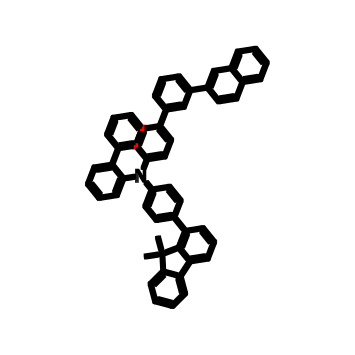 CC1(C)c2ccccc2-c2cccc(-c3ccc(N(c4ccc(-c5cccc(-c6ccc7ccccc7c6)c5)cc4)c4ccccc4-c4ccccc4)cc3)c21